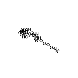 C=CC(NC(=O)CCOCCOCCOCCOCCN=[N+]=[N-])c1cn([C@H]2C[C@H](O)[C@@H](COP(=O)(O)OP(=O)(O)OP(=O)(O)O)O2)c(=O)[nH]c1=O